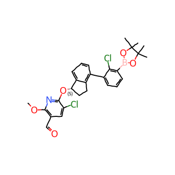 COc1nc(O[C@H]2CCc3c(-c4cccc(B5OC(C)(C)C(C)(C)O5)c4Cl)cccc32)c(Cl)cc1C=O